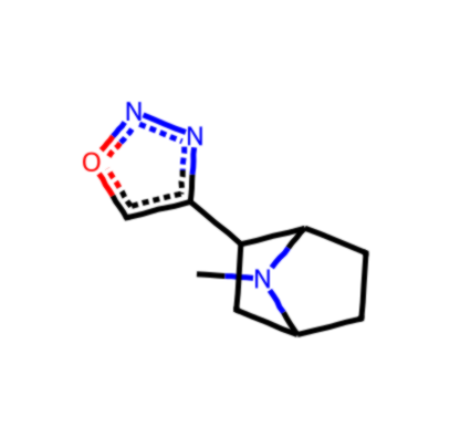 CN1C2CCC1C(c1conn1)C2